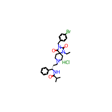 CCN1C(=O)N(Cc2ccc(Br)cc2)C(=O)C12CCN(CC[C@H](NC(=O)C(C)C)c1ccccc1)CC2.Cl